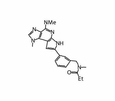 CCC(=O)N(C)Cc1cccc(-c2cc3c(nc(NC)c4ncn(C)c43)[nH]2)c1